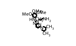 COC1=CC(C)(Nc2nc3ccc(N4CC(C)CC(C)C4)nc3n2CCCN)CC(OC)=C1OC